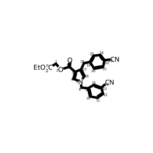 CCOC(=O)COC(=O)c1cn(Cc2cccc(C#N)c2)cc1Cc1ccc(C#N)cc1